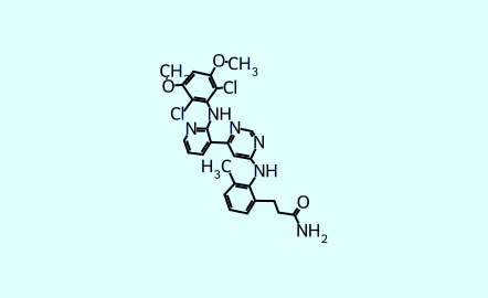 COc1cc(OC)c(Cl)c(Nc2ncccc2-c2cc(Nc3c(C)cccc3CCC(N)=O)ncn2)c1Cl